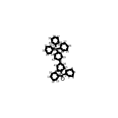 O=P(c1ccccc1)(c1ccccc1)c1ccc(-c2ccc([Si](c3ccccc3)(c3ccccc3)c3ccccc3)cc2)cc1